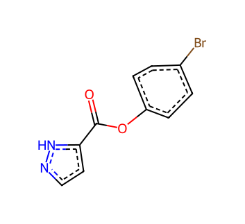 O=C(Oc1ccc(Br)cc1)c1ccn[nH]1